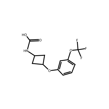 O=C(O)NC1CC(Oc2cccc(OC(F)(F)F)c2)C1